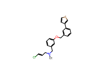 CCN(C/C=C/Cl)Cc1cccc(OCc2cccc(-c3ccsc3)c2)c1